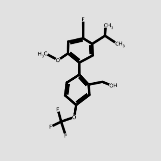 COc1cc(F)c(C(C)C)cc1-c1ccc(OC(F)(F)F)cc1CO